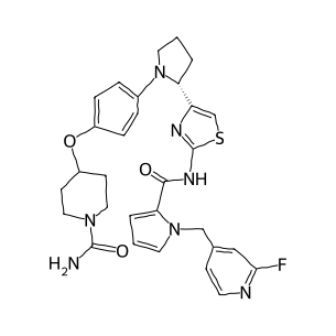 NC(=O)N1CCC(Oc2ccc(N3CCC[C@@H]3c3csc(NC(=O)c4cccn4Cc4ccnc(F)c4)n3)cc2)CC1